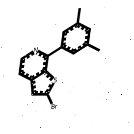 Cc1cc(C)cc(-c2nccc3cc(Br)sc23)c1